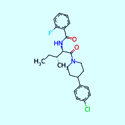 CC[C@@H](C)[C@@H](NC(=O)c1ccccc1F)C(=O)N1CCC(c2ccc(Cl)cc2)CC1